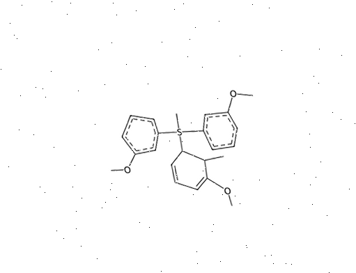 COC1=CC=CC(S(C)(c2cccc(OC)c2)c2cccc(OC)c2)C1C